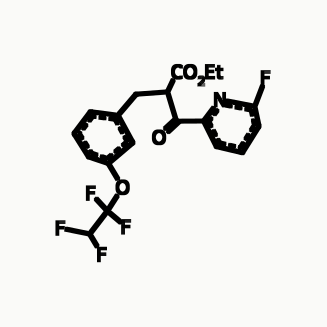 CCOC(=O)C(Cc1cccc(OC(F)(F)C(F)F)c1)C(=O)c1cccc(F)n1